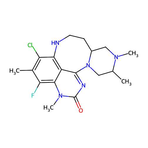 Cc1c(Cl)c2c3c(nc(=O)n(C)c3c1F)N1CC(C)N(C)CC1CCN2